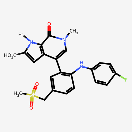 CCn1c(C(=O)O)cc2c(-c3cc(CS(C)(=O)=O)ccc3Nc3ccc(F)cc3)cn(C)c(=O)c21